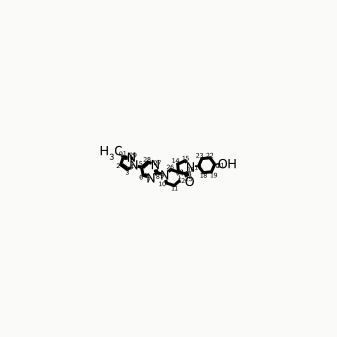 Cc1ccn(-c2cnc(N3CCC[C@@]4(CCN([C@H]5CC[C@@H](O)CC5)C4=O)C3)nc2)n1